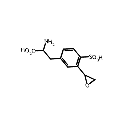 NC(Cc1ccc(S(=O)(=O)O)c(C2CO2)c1)C(=O)O